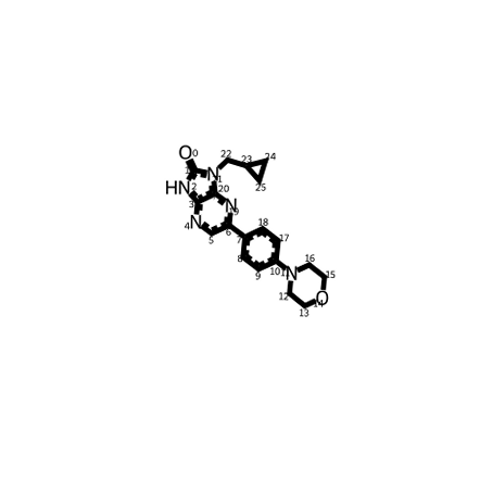 O=c1[nH]c2ncc(-c3ccc(N4CCOCC4)cc3)nc2n1CC1CC1